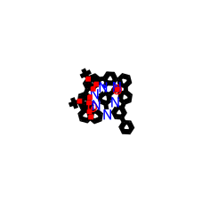 CC(C)(C)c1ccc2c(c1)c1cc(C(C)(C)C)c3c4ccccc4oc3c1n2-c1c(-n2c3ccccc3c3ccccc32)c(C#N)c(-n2c3ccc(-c4ccccc4)cc3c3ccc4c5ccccc5oc4c32)c(C#N)c1-n1c2ccccc2c2ccccc21